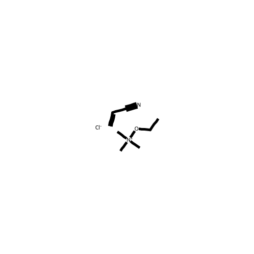 C=CC#N.CCO[N+](C)(C)C.[Cl-]